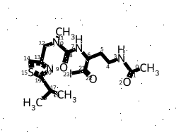 CC(=O)NCCC(NC(=O)N(C)Cc1csc(C(C)C)n1)C(=O)I